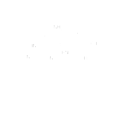 CC(C)(C)NSC1(SN)N=C(c2ccccc2)C=NN1